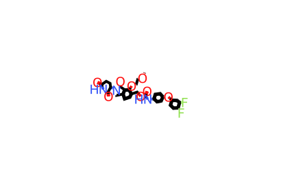 COCCOc1c(COC(=O)Nc2ccc(Oc3ccc(F)c(F)c3)cc2)ccc2c1C(=O)N(C1CCC(=O)NC1=O)C2